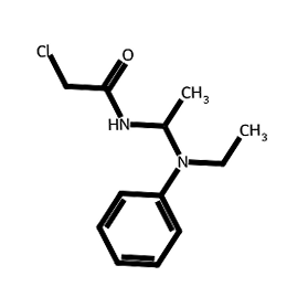 CCN(c1ccccc1)C(C)NC(=O)CCl